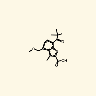 COCc1ccc(C(=O)C(C)(C)C)c2sc(C(=O)O)c(C)c12